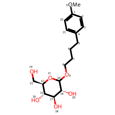 COc1ccc(CCCCOC2O[C@H](CO)[C@@H](O)[C@H](O)[C@H]2O)cc1